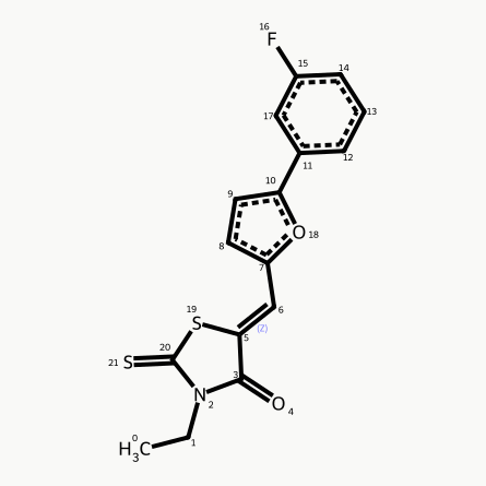 CCN1C(=O)/C(=C/c2ccc(-c3cccc(F)c3)o2)SC1=S